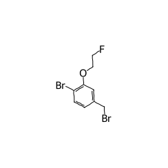 FCCOc1cc(CBr)ccc1Br